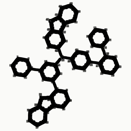 c1ccc(-c2cc(-c3cccc4c3sc3ccccc34)cc(N(c3ccc(-c4ccccc4-c4ccccc4)cc3)c3ccc4oc5ccccc5c4c3)c2)cc1